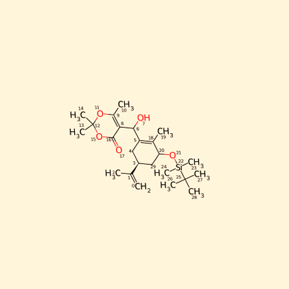 C=C(C)[C@H]1CC(C(O)C2=C(C)OC(C)(C)OC2=O)=C(C)C(O[Si](C)(C)C(C)(C)C)C1